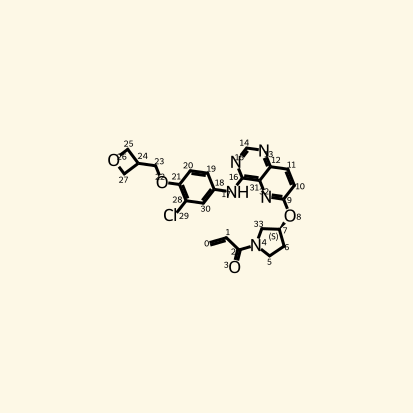 C=CC(=O)N1CC[C@H](Oc2ccc3ncnc(Nc4ccc(OCC5COC5)c(Cl)c4)c3n2)C1